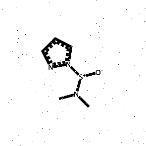 CN(C)[S+]([O-])n1cccn1